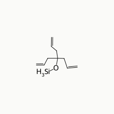 C=CCC(CC=C)(CC=C)O[SiH3]